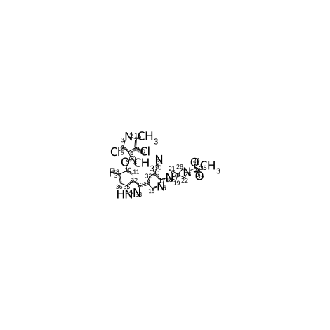 Cc1ncc(Cl)c([C@@H](C)Oc2cc3c(-c4cnc(N5CC6(C5)CN(S(C)(=O)=O)C6)c(C#N)c4)n[nH]c3cc2F)c1Cl